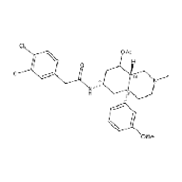 COc1cccc([C@@]23CCN(C)C[C@H]2C(OC(C)=O)C[C@@H](NC(=O)Cc2ccc(Cl)c(Cl)c2)C3)c1